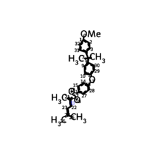 COc1ccc(C(C)(C)c2ccc(Oc3ccc(S(=O)(=O)/C(C)=C/C=C(C)C)cc3)cc2)cc1